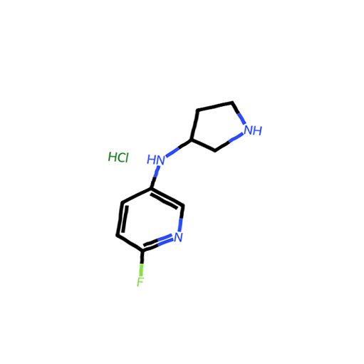 Cl.Fc1ccc(NC2CCNC2)cn1